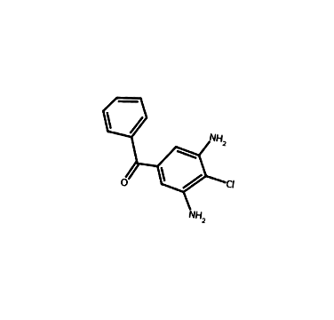 Nc1cc(C(=O)c2ccccc2)cc(N)c1Cl